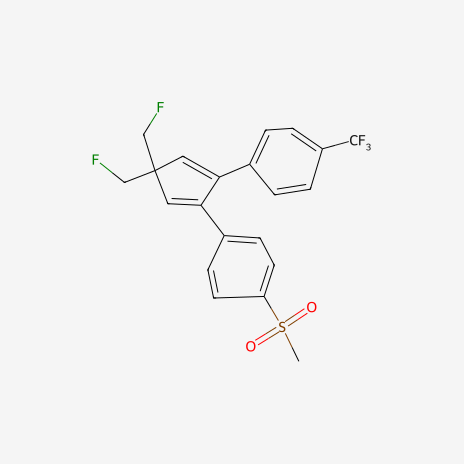 CS(=O)(=O)c1ccc(C2=CC(CF)(CF)C=C2c2ccc(C(F)(F)F)cc2)cc1